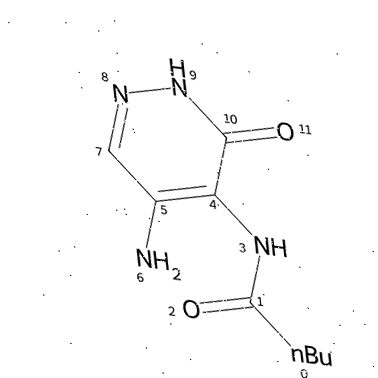 CCCCC(=O)Nc1c(N)cn[nH]c1=O